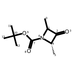 CC1C(=O)[C@H](C)N1C(=O)OC(C)(C)C